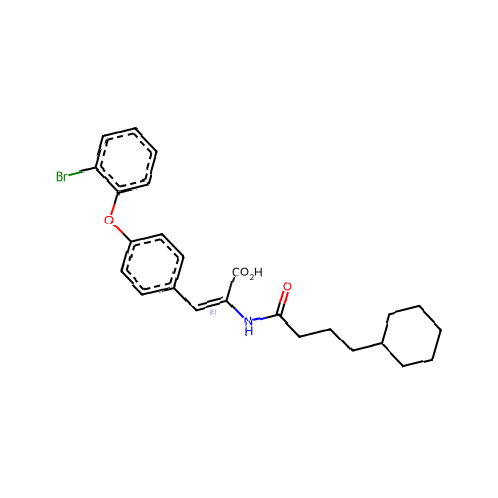 O=C(CCCC1CCCCC1)N/C(=C/c1ccc(Oc2ccccc2Br)cc1)C(=O)O